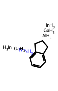 N.N.[AlH3].[GaH3].[GaH3].[InH3].[InH3].c1ccc2c(c1)CCC2